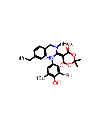 CCCCCCN(Cc1ccc(CC(C)C)cc1)C(Nc1cc(C(C)(C)C)c(O)c(C(C)(C)C)c1)=C1C(=O)OC(C)(C)OC1=O